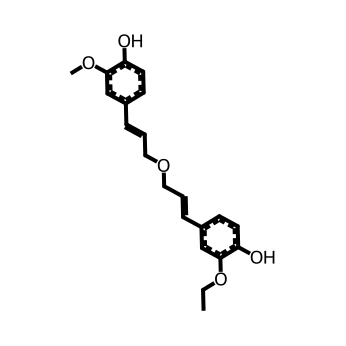 CCOc1cc(/C=C/COC/C=C/c2ccc(O)c(OC)c2)ccc1O